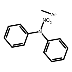 CC(C)=O.O=[N+]([O-])N(c1ccccc1)c1ccccc1